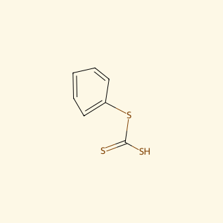 S=C(S)Sc1ccccc1